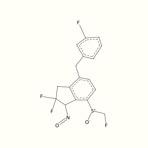 O=NC1c2c([S+]([O-])CF)ccc(Cc3cccc(F)c3)c2CC1(F)F